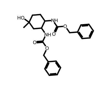 CC1(O)CCC(NC(=O)OCc2ccccc2)C(NC(=O)OCc2ccccc2)C1